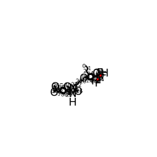 CCCc1cc(C(O)(C(F)(F)F)C(F)(F)F)ccc1OCCCCN1C(=O)NC(C)(c2ccc([N+](=O)[O-])cc2)C1=O